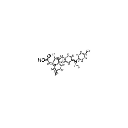 CCN(c1ccc(F)cc1)c1ccc(/C=C2/C(C)=C(CC(=O)O)c3cc(F)ccc32)cc1